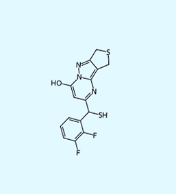 Oc1cc(C(S)c2cccc(F)c2F)nc2c3c(nn12)CSC3